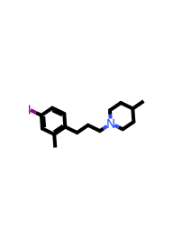 Cc1cc(I)ccc1CCCN1CCC(C)CC1